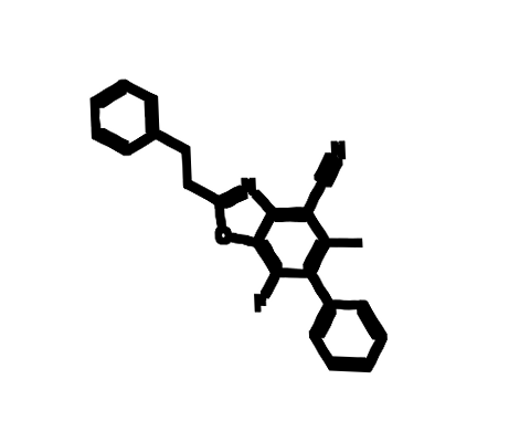 Cc1c(-c2ccccc2)c(F)c2oc(CCc3ccccc3)nc2c1C#N